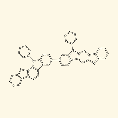 c1ccc(-n2c3cc(-c4ccc5c(c4)c4ccc6c7ccccc7oc6c4n5-c4ccccc4)ccc3c3cc4oc5ccccc5c4cc32)cc1